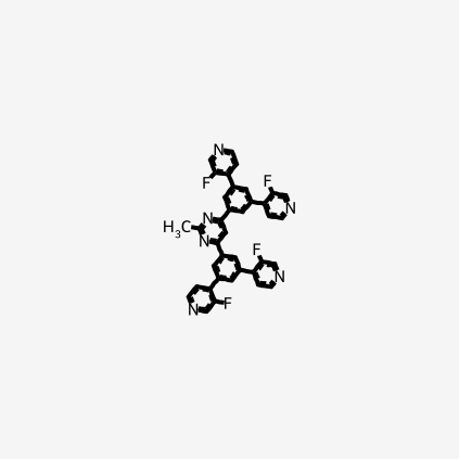 Cc1nc(-c2cc(-c3ccncc3F)cc(-c3ccncc3F)c2)cc(-c2cc(-c3ccncc3F)cc(-c3ccncc3F)c2)n1